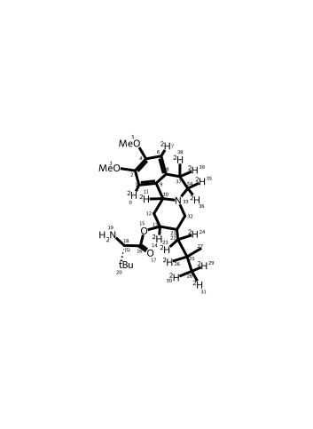 [2H]c1c(OC)c(OC)c([2H])c2c1C1([2H])CC([2H])(OC(=O)[C@@H](N)C(C)(C)C)C(C([2H])([2H])C([2H])(C)C([2H])([2H])[2H])CN1C([2H])([2H])C2([2H])[2H]